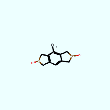 Cc1c2c(cc3c1C[S+]([O-])C3)C[S+]([O-])C2